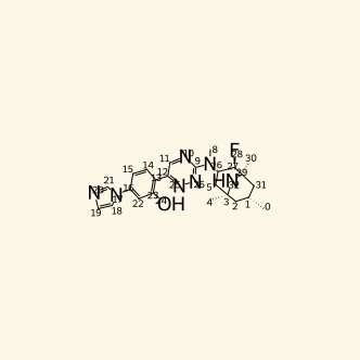 C[C@@H]1C[C@@]2(C)C[C@H](N(C)c3ncc(-c4ccc(-n5ccnc5)cc4O)nn3)[C@@H](F)[C@@](C)(C1)N2